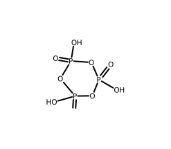 C=P1(O)OP(=O)(O)OP(=O)(O)O1